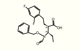 CC[C@H]([C@@H](CCc1ccc(F)cc1F)C(=O)O)N(C=O)OCc1ccccc1